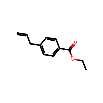 C=CCc1ccc(C(=O)OCC)cc1